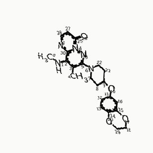 CNc1c(C)c(N2CCC(Oc3ccc4c(c3)OCCO4)CC2)nn2c(=O)ccnc12